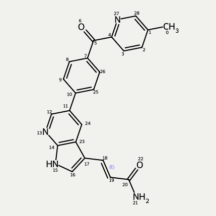 Cc1ccc(C(=O)c2ccc(-c3cnc4[nH]cc(/C=C/C(N)=O)c4c3)cc2)nc1